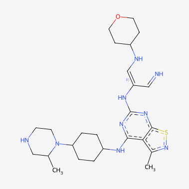 Cc1nsc2nc(N/C(C=N)=C/NC3CCOCC3)nc(NC3CCC(N4CCNCC4C)CC3)c12